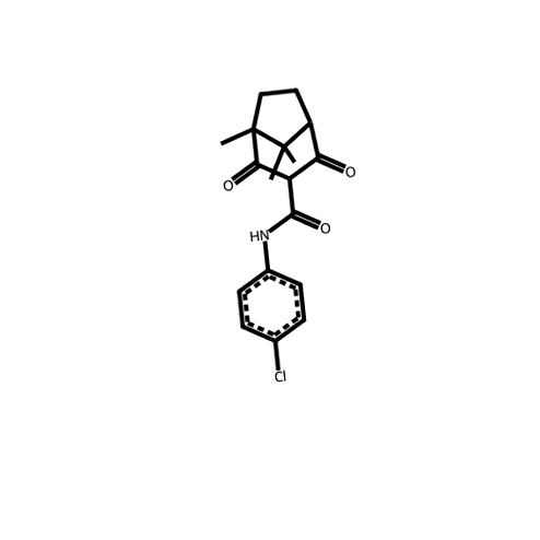 CC12CCC(C(=O)C(C(=O)Nc3ccc(Cl)cc3)C1=O)C2(C)C